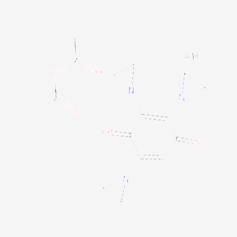 CC(=O)OC(C)=O.O=C1C=C(N2CC2)C(=O)C(N2CC2)=C1N1CC1.[AlH3]